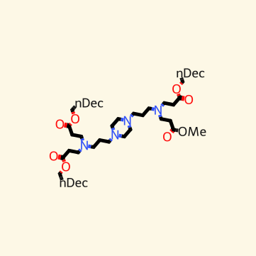 CCCCCCCCCCCOC(=O)CCN(CCCN1CCN(CCCN(CCC(=O)OCCCCCCCCCCC)CCC(=O)OCCCCCCCCCCC)CC1)CCC(=O)OC